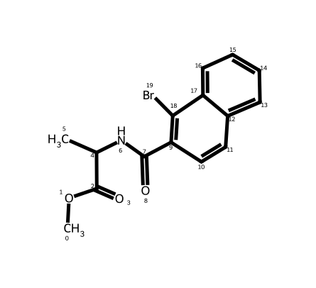 COC(=O)C(C)NC(=O)c1ccc2ccccc2c1Br